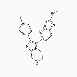 CNc1cn2nc(-c3c(-c4ccc(F)cc4)nc4n3CCNC4)ccc2n1